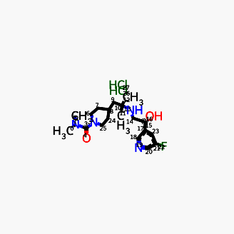 CN(C)C(=O)N1CCC(CC(C)(C)NC[C@H](O)c2cncc(F)c2)CC1.Cl.Cl